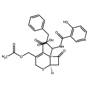 CC(=O)OCC1=C(C(=O)O)[N+]2(N(NC(=O)c3cnccc3O)C(=O)Cc3ccccc3)C(=O)C[C@H]2SC1